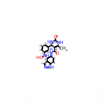 CC1=C(C(=O)Nc2ccc3[nH]ncc3c2)C(c2cccc(NO)c2)NC(=O)N1